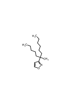 CCCCCCC(C)(CCCCC)c1ccon1